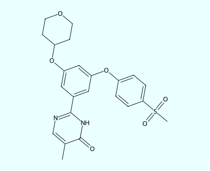 Cc1cnc(-c2cc(Oc3ccc(S(C)(=O)=O)cc3)cc(OC3CCOCC3)c2)[nH]c1=O